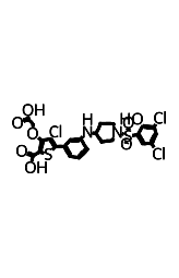 O=C(O)COc1c(C(=O)O)sc(-c2cccc(NC3CCN(S(=O)(=O)c4cc(Cl)cc(Cl)c4O)CC3)c2)c1Cl